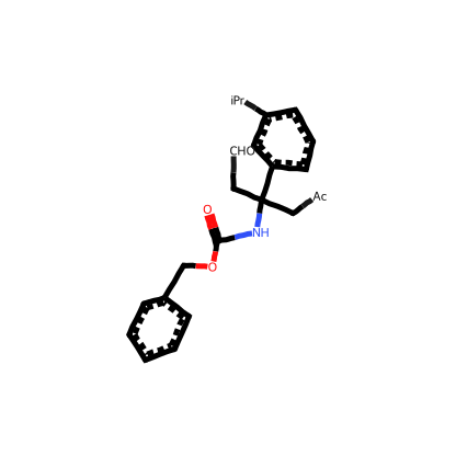 CC(=O)CC(CC=O)(NC(=O)OCc1ccccc1)c1cccc(C(C)C)c1